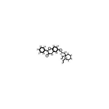 CCN1CCCCC1(CC)CCOc1ccc2c(c1)CC(=O)C(c1ccccc1)O2